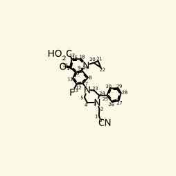 N#CCCN1CCN(c2cc3c(cc2F)c(=O)c(C(=O)O)cn3C2CC2)CC1c1ccccc1